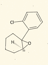 Clc1ccccc1C12CCCC[C@@H]1O2